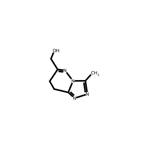 Cc1nnc2n1N=C(CO)CC2